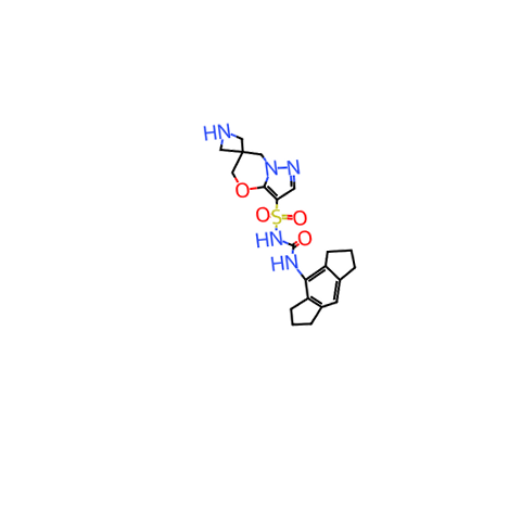 O=C(Nc1c2c(cc3c1CCC3)CCC2)NS(=O)(=O)c1cnn2c1OCC1(CNC1)C2